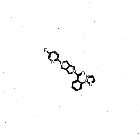 O=C(c1ccccc1-n1nccn1)N1CC2CN(c3ccc(F)cn3)CC2C1